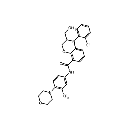 O=C(Nc1ccc(N2CCOCC2)c(C(F)(F)F)c1)c1cccc2c1OCC(CO)N2c1ncccc1Cl